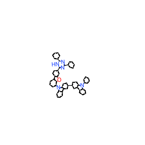 c1ccc(C2=NC(c3ccccc3)NC(c3ccc4c(c3)oc3c(-n5c6ccccc6c6cc(-c7ccc8c(c7)c7ccccc7n8-c7ccccc7)ccc65)cccc34)=N2)cc1